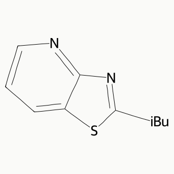 CCC(C)c1nc2ncccc2s1